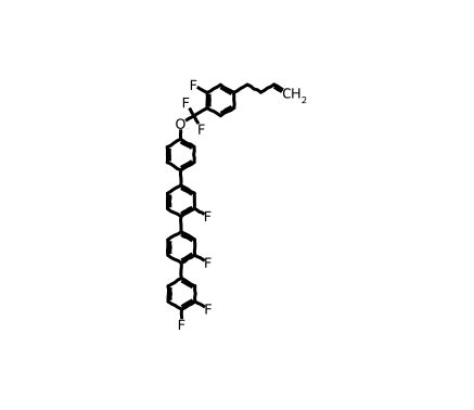 C=CCCc1ccc(C(F)(F)Oc2ccc(-c3ccc(-c4ccc(-c5ccc(F)c(F)c5)c(F)c4)c(F)c3)cc2)c(F)c1